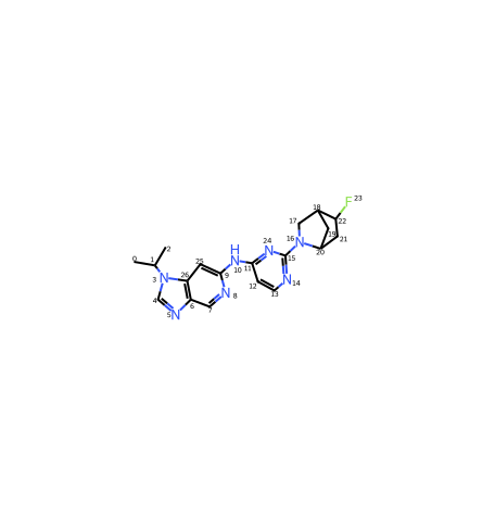 CC(C)n1cnc2cnc(Nc3ccnc(N4CC5CC4CC5F)n3)cc21